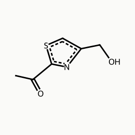 CC(=O)c1nc(CO)cs1